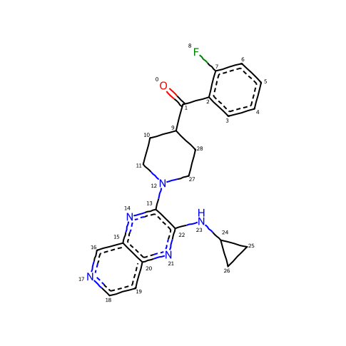 O=C(c1ccccc1F)C1CCN(c2nc3cnccc3nc2NC2CC2)CC1